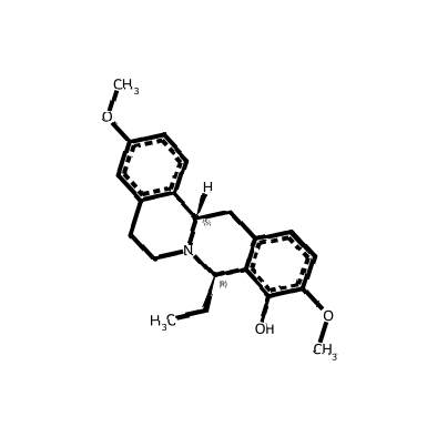 CC[C@@H]1c2c(ccc(OC)c2O)C[C@H]2c3ccc(OC)cc3CCN12